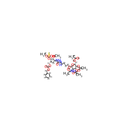 CO[C@H]1C(OP(O)(=S)OC)[C@@H](COC(=O)OCc2ccccc2)C[C@@H]1NC(=O)NCCCCO[C@@H]1O[C@H](COC(C)=O)[C@H](OC(C)=O)[C@H](OC(C)=O)[C@H]1NC(C)=O